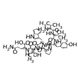 CC(C)[C@H](N)C(=O)N[C@H](C(=O)N[C@@H](Cc1ccc(O)cc1)C(=O)N1CCC[C@H]1C(=O)N[C@@H](Cc1c[nH]c2ccccc12)C(=O)N[C@H](C(=O)N[C@@H](CCC(N)=O)C(=O)O)[C@@H](C)O)C(C)C